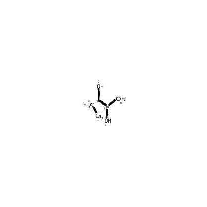 CC.OCN(O)O